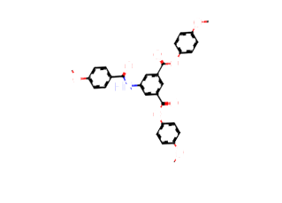 COc1ccc(OC(=O)c2cc(NC(=O)c3ccc(OC)cc3)cc(C(=O)Oc3ccc(OC)cc3)c2)cc1